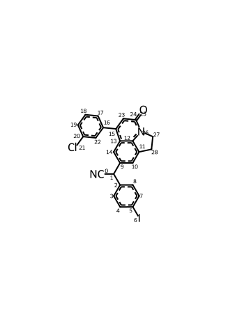 N#CC(c1ccc(I)cc1)c1cc2c3c(c1)c(-c1cccc(Cl)c1)cc(=O)n3CC2